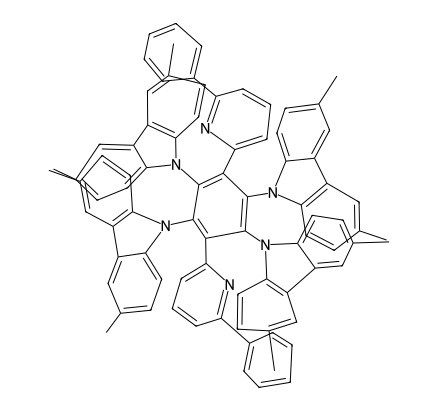 Cc1ccc2c(c1)c1cc(C)ccc1n2-c1c(-c2cccc(-c3ccccc3)n2)c(-n2c3ccc(C)cc3c3cc(C)ccc32)c(-n2c3ccc(C)cc3c3cc(C)ccc32)c(-c2cccc(-c3ccccc3)n2)c1-n1c2ccc(C)cc2c2cc(C)ccc21